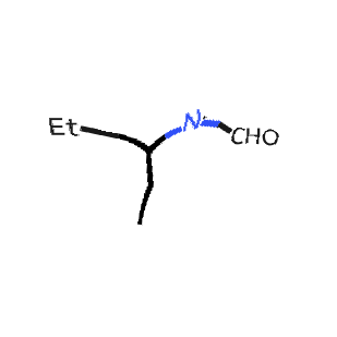 CCC(C)[N]C=O